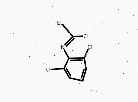 CCC(Cl)=Nc1c(Cl)cccc1Cl